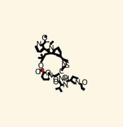 C=CC(=O)N1CCC(C(=O)N(C)[C@H](C(=O)N[C@H]2Cc3nc(cs3)-c3ccc4c(c3)c(c(-c3cccnc3[C@H](C)OC)n4CC)CC(C)(C)COC(=O)[C@@H]3CCCN(O3)C2=O)C(C)C)C1